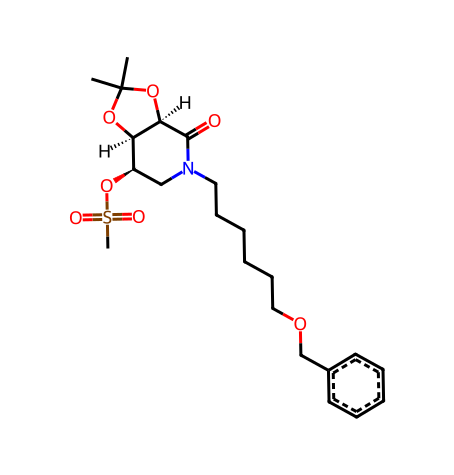 CC1(C)O[C@@H]2[C@H](OS(C)(=O)=O)CN(CCCCCCOCc3ccccc3)C(=O)[C@@H]2O1